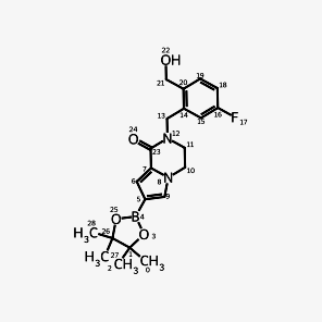 CC1(C)OB(c2cc3n(c2)CCN(Cc2cc(F)ccc2CO)C3=O)OC1(C)C